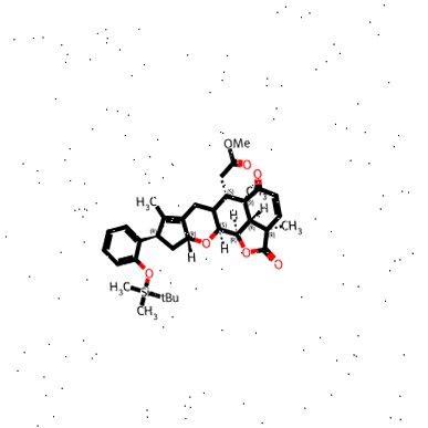 COC(=O)C[C@H]1C2CC3=C(C)[C@H](c4ccccc4O[Si](C)(C)C(C)(C)C)C[C@H]3O[C@@H]2[C@@H]2OC(=O)[C@]3(C)C=CC(=O)[C@@]1(C)[C@@H]23